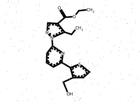 CCOC(=O)c1cnn(-c2cccc(-c3sccc3CO)n2)c1CC